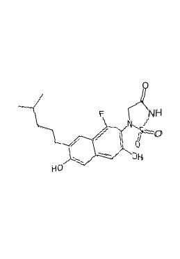 CC(C)CCCc1cc2c(F)c(N3CC(=O)NS3(=O)=O)c(O)cc2cc1O